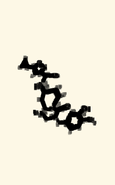 Cc1ccc(C[C@H](CN)C(=O)N2CCC(NC(=O)c3cc(C4CC4)on3)CC2)cc1O